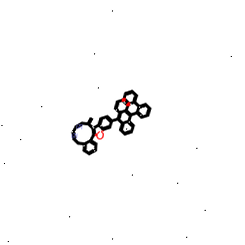 C=C1/C=C\C=C/Cc2ccccc2-c2oc3cc(-c4c5ccccc5c(-c5ccccc5-c5ccccc5)c5ccccc45)ccc3c21